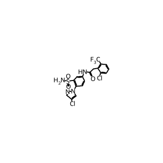 NS(=O)(=O)c1cc(NC(=O)Cc2c(Cl)cccc2C(F)(F)F)ccc1-n1cc(Cl)cn1